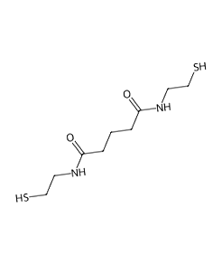 O=C(CCCC(=O)NCCS)NCCS